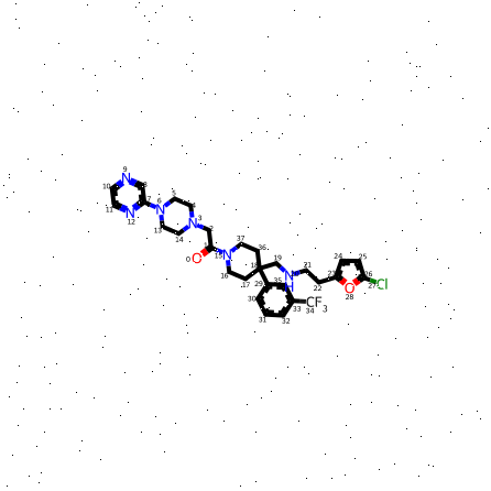 O=C(CN1CCN(c2cnccn2)CC1)N1CCC(CNCCc2ccc(Cl)o2)(c2cccc(C(F)(F)F)c2)CC1